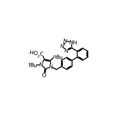 CCCCc1c(C(=O)O)n(C(C)(C)C)c(=O)n1Cc1ccc(-c2ccccc2-c2nnn[nH]2)cc1